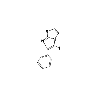 Ic1c(-c2ccccc2)nc2sccn12